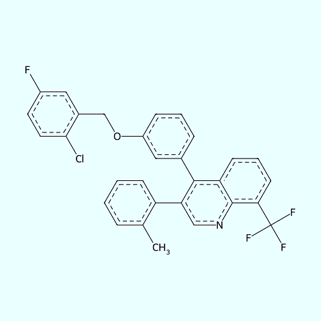 Cc1ccccc1-c1cnc2c(C(F)(F)F)cccc2c1-c1cccc(OCc2cc(F)ccc2Cl)c1